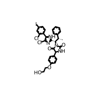 C[C@@H](c1ccccc1)[C@@H](c1nc(Cl)c(-c2ccc(I)cc2Cl)[nH]1)N1C(=O)NC(c2ccc(OCCO)cc2)C1=O